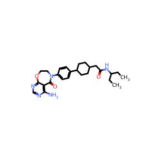 CCC(CC)NC(=O)CC1CCC(c2ccc(N3CCOc4ncnc(N)c4C3=O)cc2)CC1